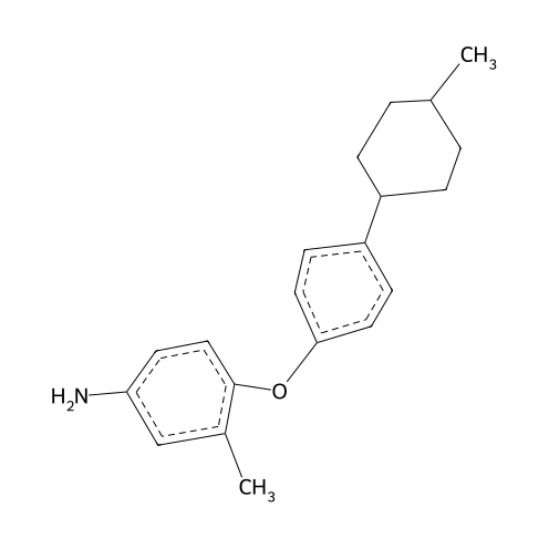 Cc1cc(N)ccc1Oc1ccc(C2CCC(C)CC2)cc1